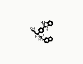 Nc1ccccc1NC(=O)c1ccc(C(CCCO)NC(=O)Nc2ccc3c(c2)CCC3)cc1